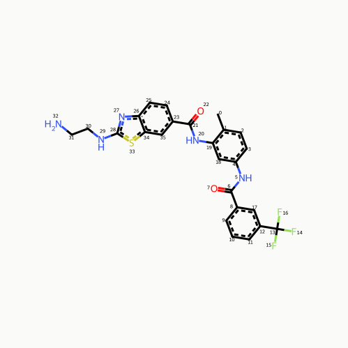 Cc1ccc(NC(=O)c2cccc(C(F)(F)F)c2)cc1NC(=O)c1ccc2nc(NCCN)sc2c1